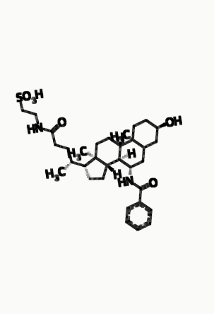 C[C@H](CCC(=O)NCCS(=O)(=O)O)[C@H]1CC[C@H]2[C@@H]3[C@@H](NC(=O)c4ccccc4)CC4C[C@H](O)CC[C@]4(C)[C@H]3CC[C@]12C